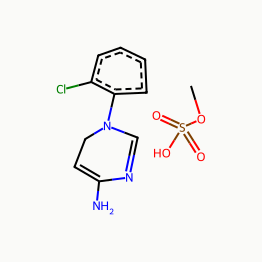 COS(=O)(=O)O.NC1=CCN(c2ccccc2Cl)C=N1